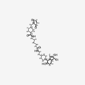 CCc1c(S)n(C)c2c(N3CCC(CCNC(=O)CCCCCNC(=O)C4CCC(CN5C(=O)C=CC5=O)CC4)CC3)c(O)ccc12